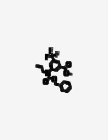 C=CCN(C(=O)OCc1ccccc1)c1cc(C(=O)OC)cc(C(F)(F)F)c1